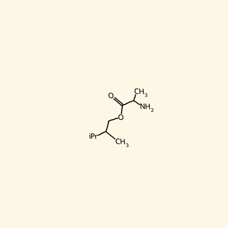 CC(N)C(=O)OCC(C)C(C)C